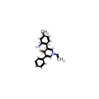 C=Cn1cc(-c2ccccc2)c(=S)c(-c2ccc(C)cc2I)c1